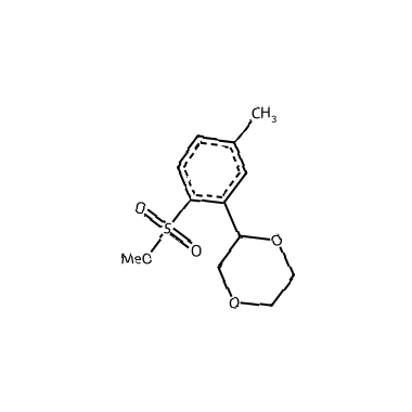 COS(=O)(=O)c1ccc(C)cc1C1COCCO1